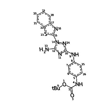 CC(C)(C)OC(=O)Nc1ccc(Nc2nc(N)n(-c3nc4ccccc4s3)n2)cc1